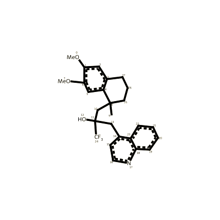 COc1cc2c(cc1OC)C(C)(CC(O)(Cc1ccnc3ccccc13)C(F)(F)F)CCC2